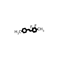 Cc1ccc(/C=C/C2CCC(C)CC2)c(F)c1F